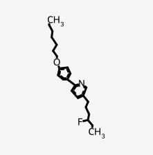 CCCCCCCOc1ccc(-c2ccc(CCCC(F)CC)cn2)cc1